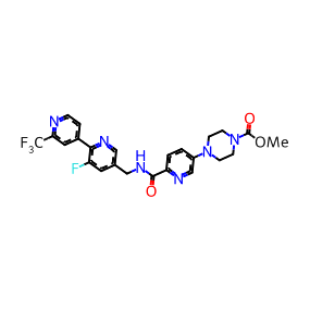 COC(=O)N1CCN(c2ccc(C(=O)NCc3cnc(-c4ccnc(C(F)(F)F)c4)c(F)c3)nc2)CC1